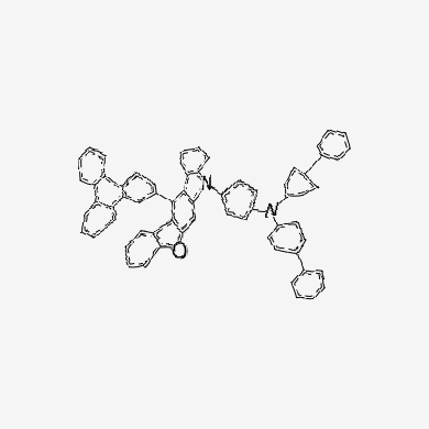 c1ccc(-c2ccc(N(c3ccc(-c4ccccc4)cc3)c3ccc(-n4c5ccccc5c5c(-c6ccc7c8ccccc8c8ccccc8c7c6)c6c(cc54)oc4ccccc46)cc3)cc2)cc1